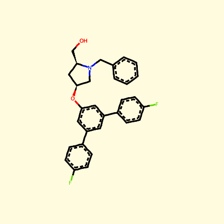 OC[C@@H]1C[C@H](Oc2cc(-c3ccc(F)cc3)cc(-c3ccc(F)cc3)c2)CN1Cc1ccccc1